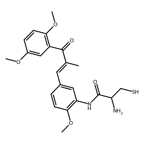 COc1ccc(OC)c(C(=O)C(C)=Cc2ccc(OC)c(NC(=O)C(N)CS)c2)c1